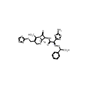 Nc1nc(/C(=N\OC(C(=O)O)c2ccccc2)C(=O)NC2C(=O)N3C(C(=O)O)=C(CSc4nncs4)CS[C@H]23)ns1